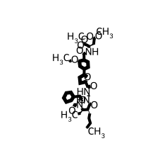 CCCCC[C@@H](C(=O)NCNC(=O)c1ccc(-c2ccc(C(=O)N[C@H](CC(=O)OC)C(=O)OC)c(OCC)c2)o1)[C@@H](CC)N(C=O)OCc1ccccc1